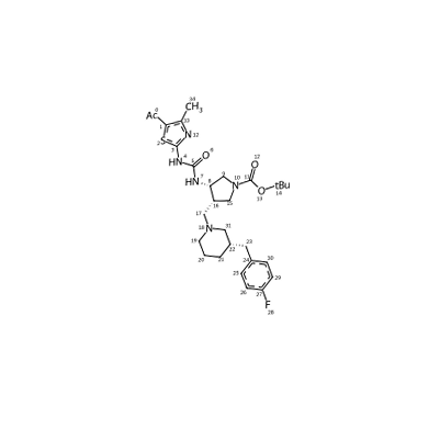 CC(=O)c1sc(NC(=O)N[C@@H]2CN(C(=O)OC(C)(C)C)C[C@@H]2CN2CCC[C@@H](Cc3ccc(F)cc3)C2)nc1C